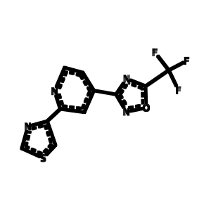 FC(F)(F)c1nc(-c2ccnc(-c3cscn3)c2)no1